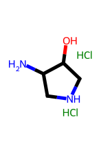 Cl.Cl.NC1CNCC1O